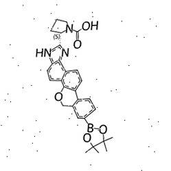 CC1(C)OB(c2ccc3c(c2)COc2c-3ccc3c2ccc2[nH]c([C@@H]4CCCN4C(=O)O)nc23)OC1(C)C